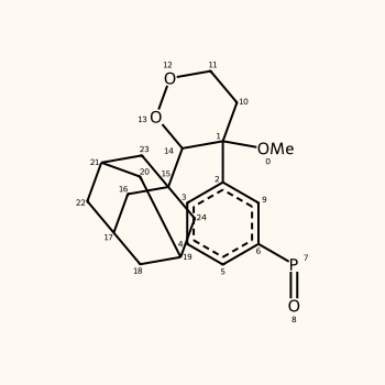 COC1(c2cccc(P=O)c2)CCOOC1C12CC3CC(CC(C3)C1)C2